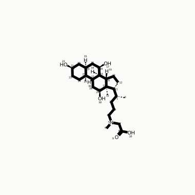 C[C@H](CCCN(C)CC(=O)O)[C@H]1CC[C@H]2[C@@H]3[C@H](O)C[C@@H]4C[C@H](O)CC[C@]4(C)[C@H]3C[C@H](O)[C@]12C